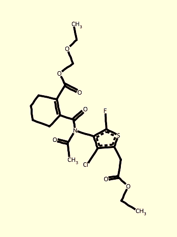 CCOCOC(=O)C1=C(C(=O)N(C(C)=O)c2c(F)sc(CC(=O)OCC)c2Cl)CCCC1